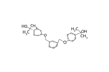 CC(C)(O)c1ccc(OCc2cccc(COc3ccc(C(C)(C)O)cc3)c2)cc1